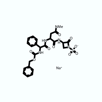 CNC(=O)CC(NC(=O)C(NC(=O)OCc1ccccc1)c1ccccc1)C(=O)NC1CN(S(=O)(=O)[O-])C1=O.[Na+]